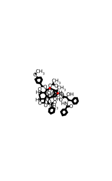 COc1ccc(C2O[C@H]3C[C@H]4OC[C@@]4(OC(C)=O)[C@H]4[C@H](OC(=O)c5ccccc5)[C@]5(O)C[C@H](OC(=O)[C@H](O)[C@@H](NC(=O)c6ccccc6)c6ccccc6)C(C)=C([C@H](OC(C)=O)[C@H](O2)[C@]34C)C5(C)C)cc1